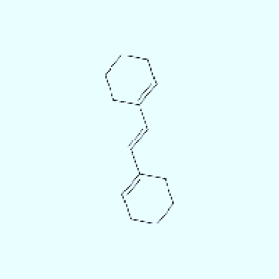 C(=CC1=CCCCC1)C1=CCCCC1